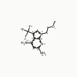 COCCn1cc(C(F)(F)F)c2c(N)cc(N)nc21